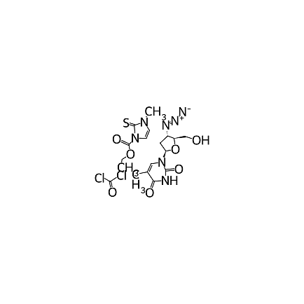 CCOC(=O)n1ccn(C)c1=S.Cc1cn([C@H]2C[C@H](N=[N+]=[N-])[C@@H](CO)O2)c(=O)[nH]c1=O.O=C(Cl)Cl